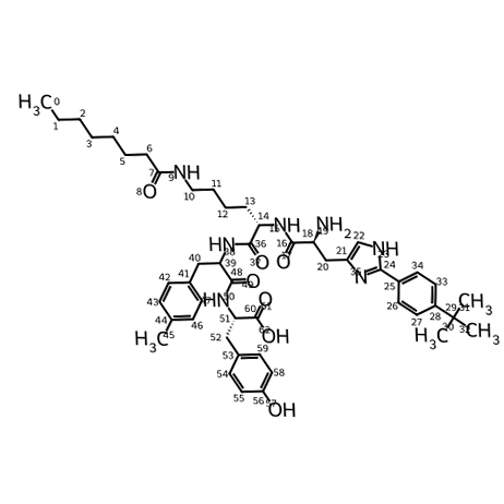 CCCCCCCC(=O)NCCCC[C@H](NC(=O)[C@@H](N)Cc1c[nH]c(-c2ccc(C(C)(C)C)cc2)n1)C(=O)NC(Cc1ccc(C)cc1)C(=O)N[C@@H](Cc1ccc(O)cc1)C(=O)O